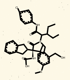 CCC(CC)C(C(=O)Nc1ccc(Cl)cc1)N(Cc1ccc(SC)cc1CO)C(=O)[C@@](NC(=O)O)(C1Cc2ccccc2C1)C(C)(C)C